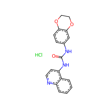 Cl.O=C(Nc1ccc2c(c1)OCCO2)Nc1ccnc2ccccc12